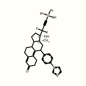 CC(C)[Si](C#CC(F)(F)[C@]1(O)CCC2C3CCC4=CC(=O)CCC4=C3C(c3ccc(-n4ccnc4)cc3)C[C@@]21C)(C(C)C)C(C)C